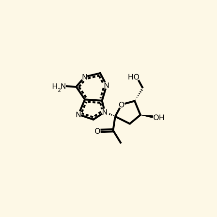 CC(=O)[C@]1(n2cnc3c(N)ncnc32)C[C@H](O)[C@@H](CO)O1